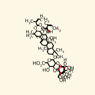 C/C=C(/C)C(=O)O[C@H]1[C@H](OC(=O)/C(C)=C\C)[C@@]2(CO)C(CC1(C)C)C1=CCC3[C@@]4(C)CC[C@H](O[C@@H]5OC(C(=O)O)[C@@H](O)C(OC6OC(CO)C(O)C6O)[C@@H]5O[C@@H]5OC(CO)[C@@H](O)C(O)[C@@H]5O)[C@](C)(CO)C4CC[C@@]3(C)[C@]1(C)[C@@H](O)[C@H]2O